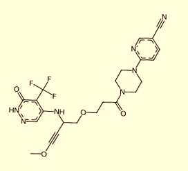 COC#CC(COCCC(=O)N1CCN(c2ccc(C#N)cn2)CC1)Nc1cn[nH]c(=O)c1C(F)(F)F